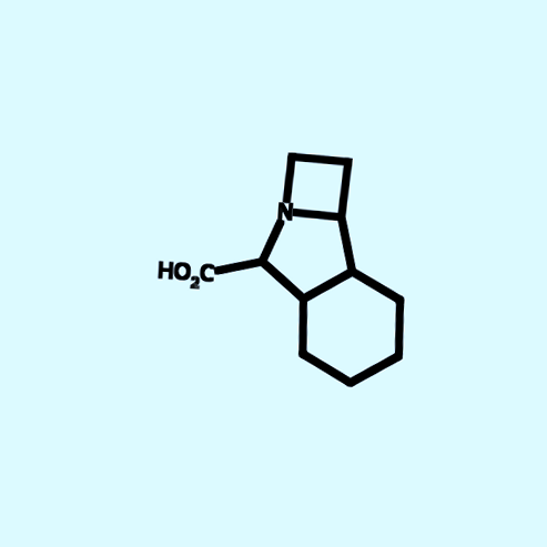 O=C(O)C1C2CCCCC2C2CCN21